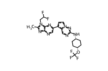 Cc1nc2ncc(-c3ccn4nc(N[C@H]5CC[C@@H](OC(F)(F)F)CC5)ncc34)nc2n1CC(F)F